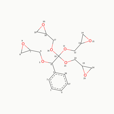 c1ccc(C(OCC2CO2)C(OCC2CO2)(OCC2CO2)OCC2CO2)cc1